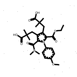 CCOC(=O)c1c(CC(C)(C)C(=O)O)c(CC(C)(C)C(=O)O)c(C(=O)N(C)C)n1-c1ccc(OC)cc1